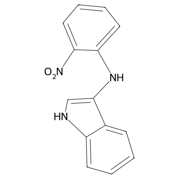 O=[N+]([O-])c1ccccc1Nc1c[nH]c2ccccc12